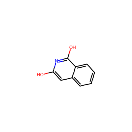 Oc1cc2ccccc2c(O)n1